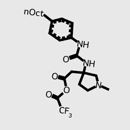 CCCCCCCCc1ccc(NC(=O)NC2(CC(=O)OC(=O)C(F)(F)F)CCN(C)C2)cc1